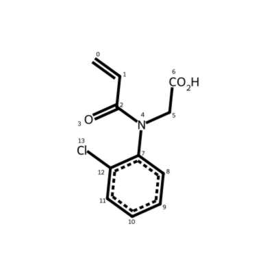 C=CC(=O)N(CC(=O)O)c1ccccc1Cl